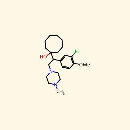 COc1ccc(C(CN2CCN(C)CC2)C2(O)CCCCCCC2)cc1Br